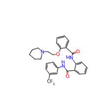 O=C(Nc1cccc(C(F)(F)F)c1)c1ccccc1NC(=O)c1ccccc1OCCN1CCCCC1